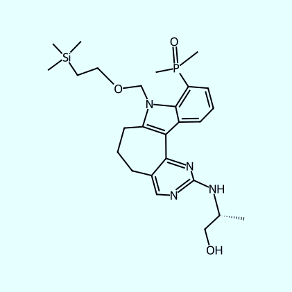 C[C@H](CO)Nc1ncc2c(n1)-c1c(n(COCC[Si](C)(C)C)c3c(P(C)(C)=O)cccc13)CCC2